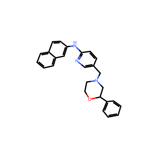 c1ccc(C2CN(Cc3ccc(Nc4ccc5ccccc5c4)nc3)CCO2)cc1